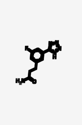 NC(=O)CCc1cc(F)cc(-c2nnn[nH]2)c1